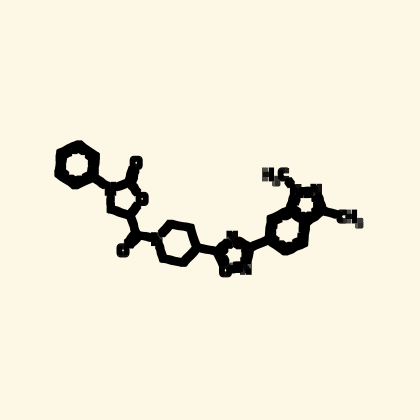 Cc1nn(C)c2cc(-c3noc(C4CCN(C(=O)C5CN(c6ccccc6)C(=O)O5)CC4)n3)ccc12